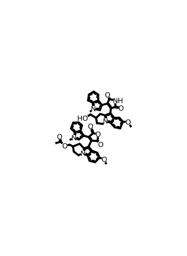 COc1ccc2c(c1)c(C1=C(c3cn(C)c4ccccc34)C(=O)NC1=O)c1n2CCC(CO)C1.COc1ccc2c(c1)c(C1=C(c3cn(C)c4ccccc34)C(=O)OC1=O)c1n2CCC(COC(C)=O)C1